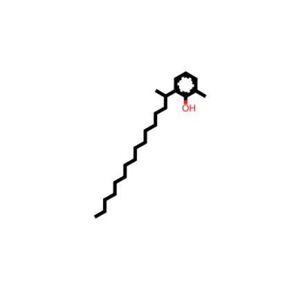 CCCCCCCCCCCCCCC(C)c1cccc(C)c1O